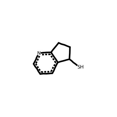 SC1CCc2ncccc21